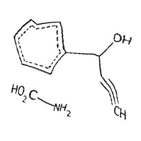 C#CC(O)c1ccccc1.NC(=O)O